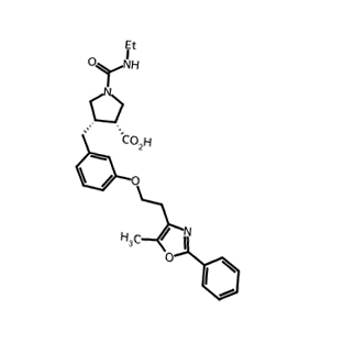 CCNC(=O)N1C[C@@H](Cc2cccc(OCCc3nc(-c4ccccc4)oc3C)c2)[C@@H](C(=O)O)C1